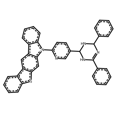 c1ccc(C2=NC(c3ccccc3)NC(c3ccc(-n4c5ccccc5c5cc6c(cc54)sc4ccccc46)nc3)N2)cc1